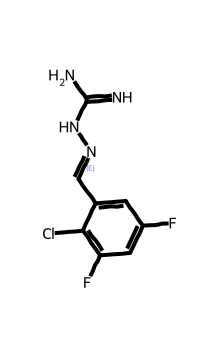 N=C(N)N/N=C/c1cc(F)cc(F)c1Cl